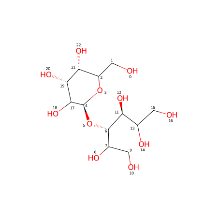 OCC1O[C@@H](O[C@@H](C(O)CO)[C@@H](O)C(O)CO)C(O)[C@H](O)[C@@H]1O